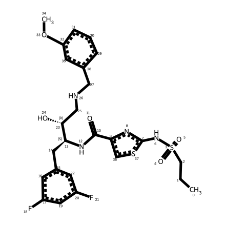 CCCS(=O)(=O)Nc1nc(C(=O)N[C@@H](Cc2cc(F)cc(F)c2)[C@H](O)CNCc2cccc(OC)c2)cs1